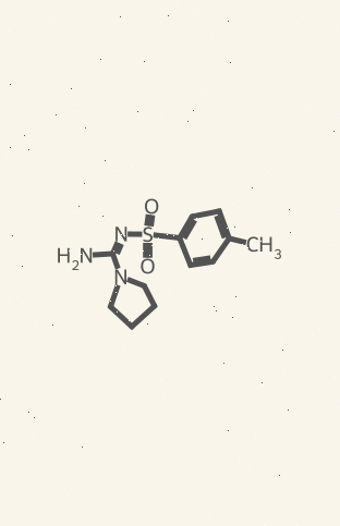 Cc1ccc(S(=O)(=O)N=C(N)N2CCCC2)cc1